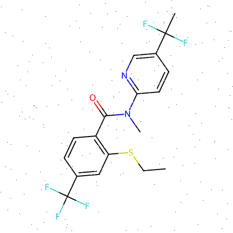 CCSc1cc(C(F)(F)F)ccc1C(=O)N(C)c1ccc(C(C)(F)F)cn1